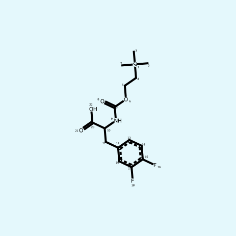 C[Si](C)(C)CCOC(=O)NC(Cc1ccc(F)c(F)c1)C(=O)O